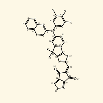 Cc1cc(N(c2ccc3ccccc3c2)c2cc3c(cn2)-c2sc(C=C4C(=O)c5cscc5C4=O)cc2C3(C)C)cc(C)c1C